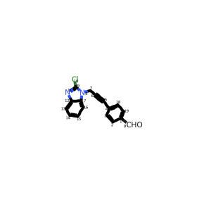 O=Cc1ccc(C#CCn2c(Cl)nc3ccccc32)cc1